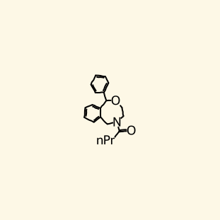 CCCC(=O)N1CCOC(c2ccccc2)c2ccccc2C1